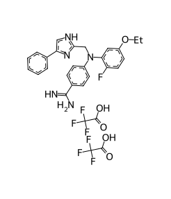 CCOc1ccc(F)c(N(Cc2nc(-c3ccccc3)c[nH]2)c2ccc(C(=N)N)cc2)c1.O=C(O)C(F)(F)F.O=C(O)C(F)(F)F